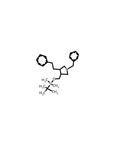 CC(C)(C)[Si](C)(C)OCC1CN(Cc2ccccc2)CC1CCc1ccccc1